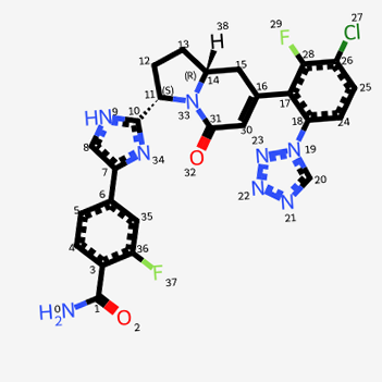 NC(=O)c1ccc(-c2c[nH]c([C@@H]3CC[C@@H]4CC(c5c(-n6cnnn6)ccc(Cl)c5F)=CC(=O)N43)n2)cc1F